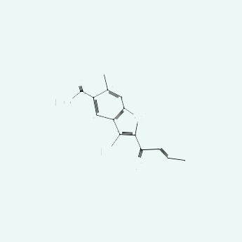 C/C=C/C(=O)c1oc2cc(C)c(C(=O)O)cc2c1O